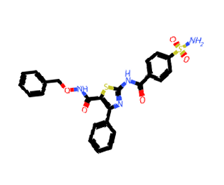 NS(=O)(=O)c1ccc(C(=O)Nc2nc(-c3ccccc3)c(C(=O)NOCc3ccccc3)s2)cc1